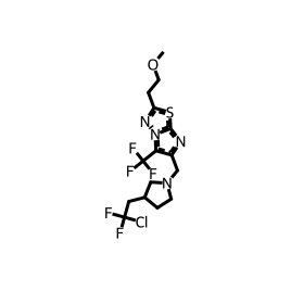 COCCc1nn2c(C(F)(F)F)c(CN3CCC(CC(F)(F)Cl)C3)nc2s1